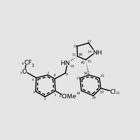 COc1ccc(OC(F)(F)F)cc1CN[C@@H]1CCN[C@@H]1c1cccc(Cl)c1